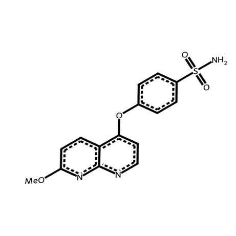 COc1ccc2c(Oc3ccc(S(N)(=O)=O)cc3)ccnc2n1